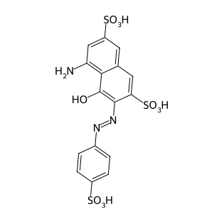 Nc1cc(S(=O)(=O)O)cc2cc(S(=O)(=O)O)c(N=Nc3ccc(S(=O)(=O)O)cc3)c(O)c12